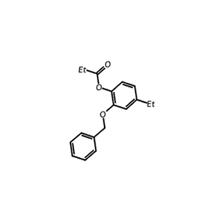 CCC(=O)Oc1ccc(CC)cc1OCc1ccccc1